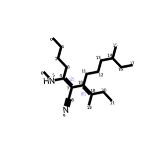 CCCC/C(NC)=C(C#N)\C(CCCC(C)CC)=C(/C)CC